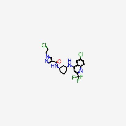 O=C(N[C@@H]1CCC[C@H](Nc2cc(C(F)(F)F)nc3ccc(Cl)cc23)C1)c1cnn(CCCl)c1